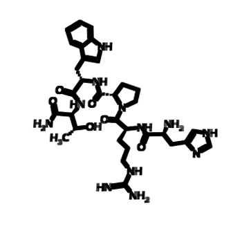 C[C@@H](O)[C@H](NC(=O)[C@H](Cc1c[nH]c2ccccc12)NC(=O)[C@@H]1CCCN1C(=O)[C@H](CCCNC(=N)N)NC(=O)[C@@H](N)Cc1c[nH]cn1)C(N)=O